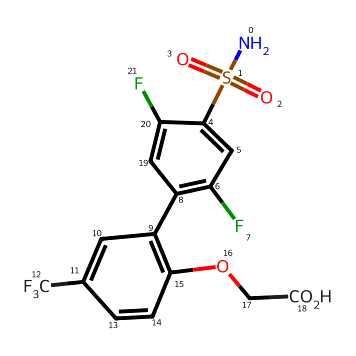 NS(=O)(=O)c1cc(F)c(-c2cc(C(F)(F)F)ccc2OCC(=O)O)cc1F